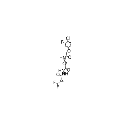 O=C(COc1ccc(Cl)c(F)c1)NC12CC(C(=O)NNC(=O)C3CC3C(F)F)(C1)C2